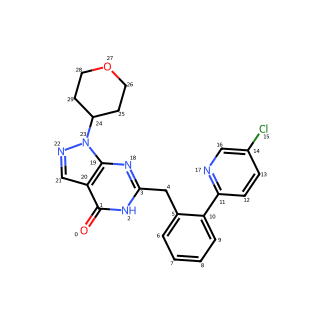 O=c1[nH]c(Cc2ccccc2-c2ccc(Cl)cn2)nc2c1cnn2C1CCOCC1